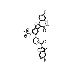 CNC(=O)c1c(-c2ccc(F)cc2)oc2cc(N(C)S(C)(=O)=O)c(C3CCCN(C(=O)c4oc5ccc(F)cc5c4C)C3)cc12